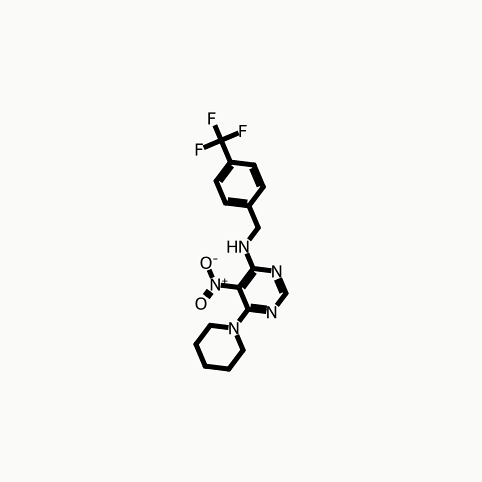 O=[N+]([O-])c1c(NCc2ccc(C(F)(F)F)cc2)ncnc1N1CCCCC1